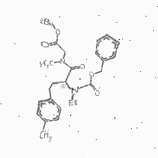 CCN(C(=O)OCc1ccccc1)[C@@H](Cc1ccc(C)cc1)C(=O)N(C)CC(=O)OC(C)(C)C